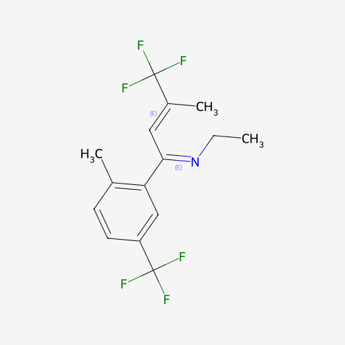 CC/N=C(\C=C(/C)C(F)(F)F)c1cc(C(F)(F)F)ccc1C